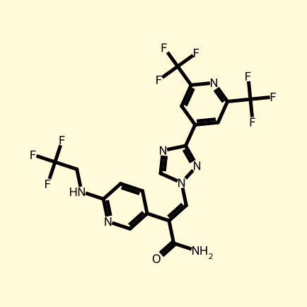 NC(=O)/C(=C/n1cnc(-c2cc(C(F)(F)F)nc(C(F)(F)F)c2)n1)c1ccc(NCC(F)(F)F)nc1